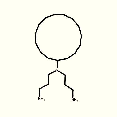 NCCCN(CCCN)C1CCCCCCCCCCCCCC1